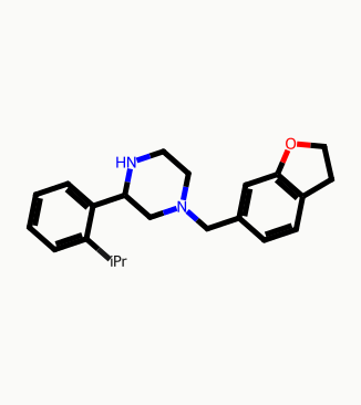 CC(C)c1ccccc1C1CN(Cc2ccc3c(c2)OCC3)CCN1